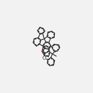 CC1(c2ccccc2)c2ccccc2Oc2cc(-c3cccc4c3C3(c5ccccc5-c5cc6ccccc6cc53)c3ccccc3-4)ccc21